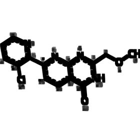 COCc1nc2nc(-c3ncccc3Cl)ccc2c(=O)[nH]1